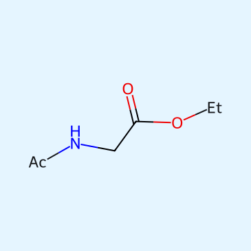 CCOC(=O)CNC(C)=O